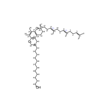 CC(C)=CCC/C(C)=C/CC/C(C)=C/CC[C@]1(C)CCc2c3c(c(C)c(C)c2O1)OCN(CCCCCCCCCCCCO)C3